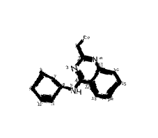 FCc1nc(Nc2ccccc2)c2ccccc2n1